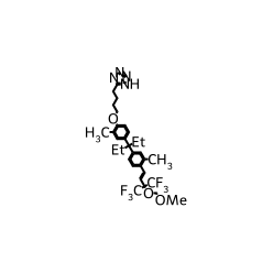 CCC(CC)(c1ccc(/C=C/C(OCOC)(C(F)(F)F)C(F)(F)F)c(C)c1)c1ccc(OCCCCc2nnn[nH]2)c(C)c1